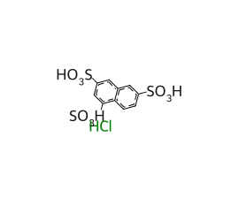 Cl.O=S(=O)(O)c1ccc2c(S(=O)(=O)O)cc(S(=O)(=O)O)cc2c1